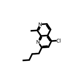 CCCCc1cc(Cl)c2ccnc(C)c2n1